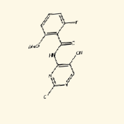 COc1cccc(F)c1C(=O)Nc1nc(Cl)ncc1C#N